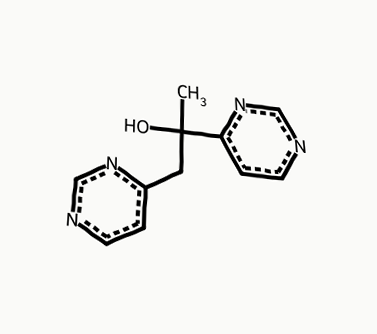 CC(O)(Cc1ccncn1)c1ccncn1